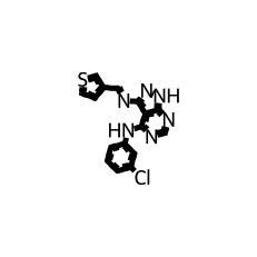 Clc1cccc(Nc2ncnc3[nH]nc(N=Cc4ccsc4)c23)c1